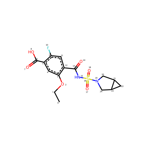 CCOc1cc(C(=O)O)c(F)cc1C(=O)NS(=O)(=O)N1CC2CC2C1